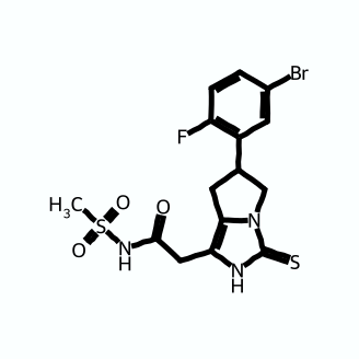 CS(=O)(=O)NC(=O)Cc1[nH]c(=S)n2c1CC(c1cc(Br)ccc1F)C2